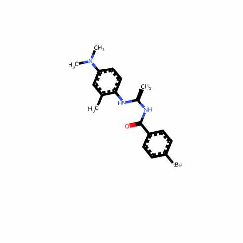 C=C(NC(=O)c1ccc(C(C)(C)C)cc1)Nc1ccc(N(C)C)cc1C